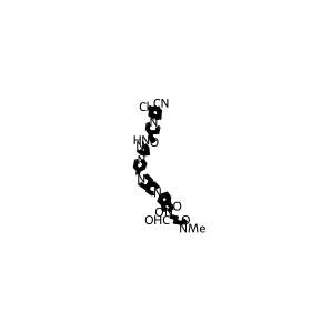 CNC(=O)CCC(C=O)N1C(=O)c2ccc(N3CCC4(CCN(CC5CCN(c6ccc(NC(=O)C7CCN(c8ccc(C#N)c(Cl)c8)CC7)nc6)CC5)CC4)CC3)cc2C1=O